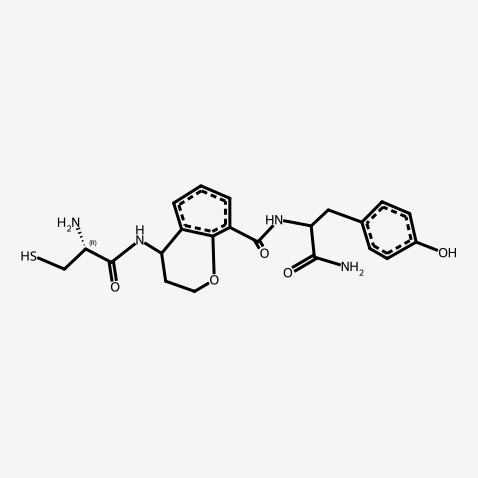 NC(=O)C(Cc1ccc(O)cc1)NC(=O)c1cccc2c1OCCC2NC(=O)[C@@H](N)CS